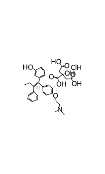 CC/C(=C(/c1ccc(OCCN(C)C)cc1)c1cccc(O)c1)c1ccccc1.Cl.O=C(O)CC(O)(CC(=O)O)C(=O)O